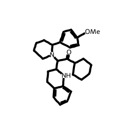 COc1ccc(C2CCCCN2C(C(=O)C2CCCCC2)C2CCc3ccccc3N2)cc1